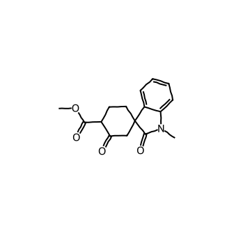 COC(=O)C1CCC2(CC1=O)C(=O)N(C)c1ccccc12